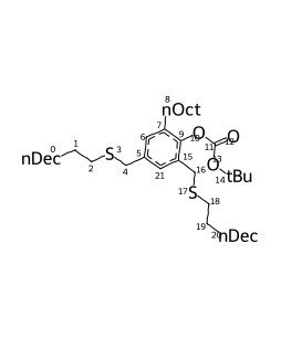 CCCCCCCCCCCCSCc1cc(CCCCCCCC)c(OC(=O)OC(C)(C)C)c(CSCCCCCCCCCCCC)c1